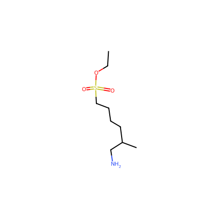 CCOS(=O)(=O)CCCCC(C)CN